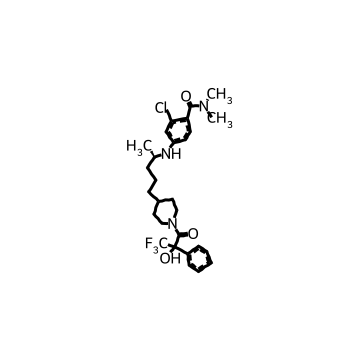 C[C@H](CCCC1CCN(C(=O)C(O)(c2ccccc2)C(F)(F)F)CC1)Nc1ccc(C(=O)N(C)C)c(Cl)c1